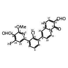 COc1nc(-c2cccc(-c3ccn4c(=O)c(C=O)cnc4c3)c2Cl)cc(F)c1C=O